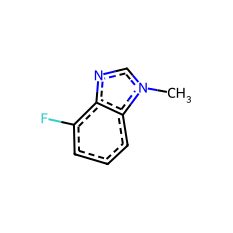 Cn1cnc2c(F)cccc21